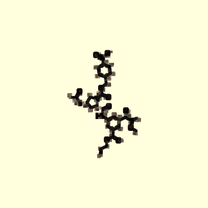 C=CCOC(=O)c1cc(NC(=O)[C@@H]2C[C@H](SC(C)=O)CN2C(=O)OCc2ccc([N+](=O)[O-])cc2)cc(C(=O)N(C)OC)c1